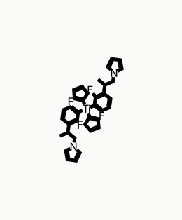 CC(Cn1cccc1)c1ccc(F)[c]([Ti]([C]2=CC=CC2)([C]2=CC=CC2)[c]2c(F)ccc(C(C)Cn3cccc3)c2F)c1F